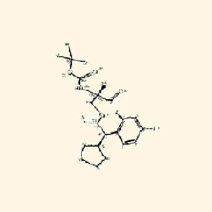 Cc1cc(F)ccc1[C@@H](C1CCCC1)[C@H](C)OC[C@@](C)(C=O)NC(=O)OC(C)(C)C